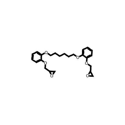 c1ccc(OCC2CO2)c(OCCCCCCOc2ccccc2OCC2CO2)c1